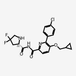 O=C(NC(=O)[C@@H]1CC(F)(F)CN1)c1ccc(OCC2CC2)c(-c2ccc(Cl)cc2)n1